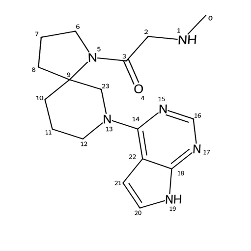 CNCC(=O)N1CCCC12CCCN(c1ncnc3[nH]ccc13)C2